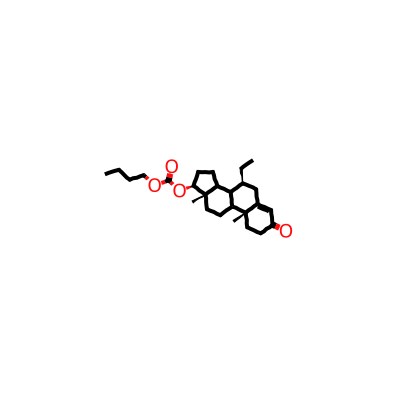 CCCCOC(=O)O[C@H]1CCC2C3C(CC[C@@]21C)[C@@]1(C)CCC(=O)C=C1C[C@@H]3CC